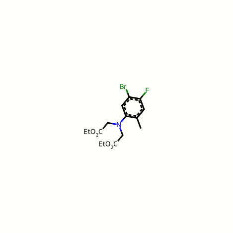 CCOC(=O)CN(CC(=O)OCC)c1cc(Br)c(F)cc1C